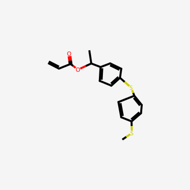 C=CC(=O)OC(C)c1ccc(Sc2ccc(SC)cc2)cc1